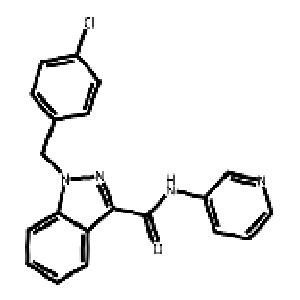 O=C(Nc1cccnc1)c1nn(Cc2ccc(Cl)cc2)c2ccccc12